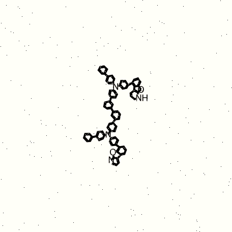 C1=Cc2c(oc3cccc(-c4ccc(N(c5ccc(-c6ccccc6)cc5)c5ccc(-c6cccc(-c7cccc(-c8ccc(N(c9ccc(-c%10ccccc%10)cc9)c9ccc(-c%10cccc%11c%10oc%10ncccc%10%11)cc9)cc8)c7)c6)cc5)cc4)c23)NC1